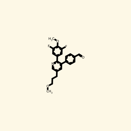 COCCCc1cnc(-c2cc(F)c(OC)c(F)c2)c(-c2ccc(C=O)cc2)c1